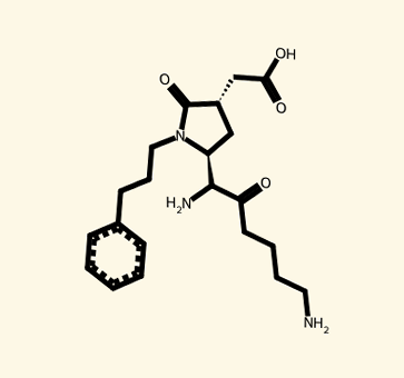 NCCCCC(=O)C(N)[C@@H]1C[C@@H](CC(=O)O)C(=O)N1CCCc1ccccc1